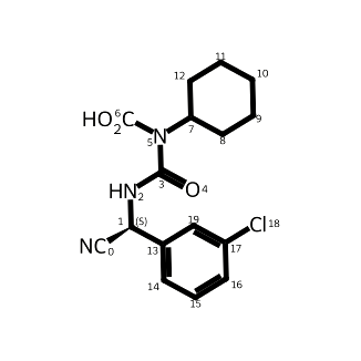 N#C[C@@H](NC(=O)N(C(=O)O)C1CCCCC1)c1cccc(Cl)c1